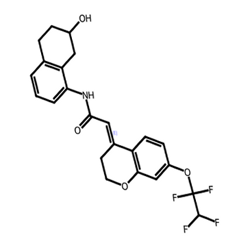 O=C(/C=C1\CCOc2cc(OC(F)(F)C(F)F)ccc21)Nc1cccc2c1CC(O)CC2